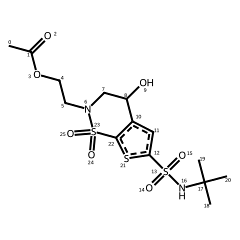 CC(=O)OCCN1CC(O)c2cc(S(=O)(=O)NC(C)(C)C)sc2S1(=O)=O